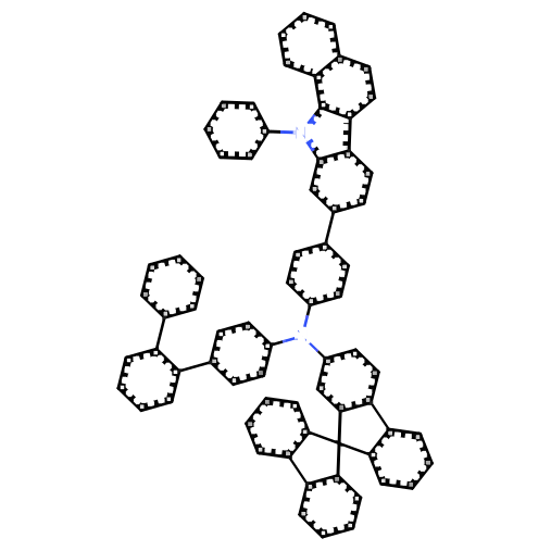 c1ccc(-c2ccccc2-c2ccc(N(c3ccc(-c4ccc5c6ccc7ccccc7c6n(-c6ccccc6)c5c4)cc3)c3ccc4c(c3)C3(c5ccccc5-c5ccccc53)c3ccccc3-4)cc2)cc1